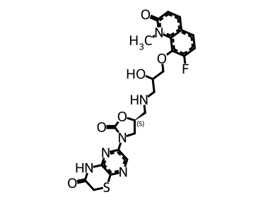 Cn1c(=O)ccc2ccc(F)c(OCC(O)CNC[C@H]3CN(c4cnc5c(n4)NC(=O)CS5)C(=O)O3)c21